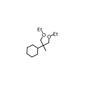 CCOCC(C)(COCC)C1CCCCC1